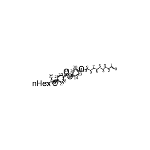 C=CCCCCCCCCCOc1ccc(OC(=O)c2ccc(O[C@@H](C)CCCCCC)cc2)cc1